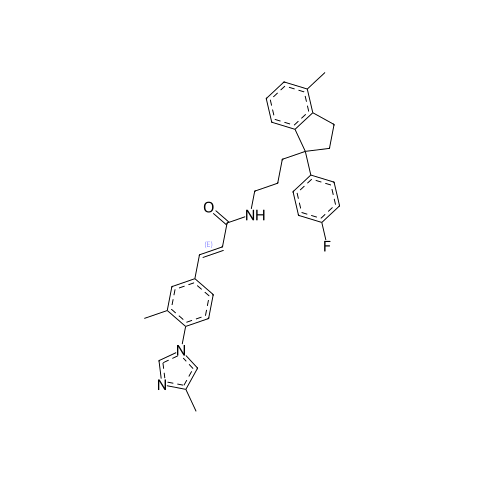 Cc1cn(-c2ccc(/C=C/C(=O)NCCCC3(c4ccc(F)cc4)CCc4c(C)cccc43)cc2C)cn1